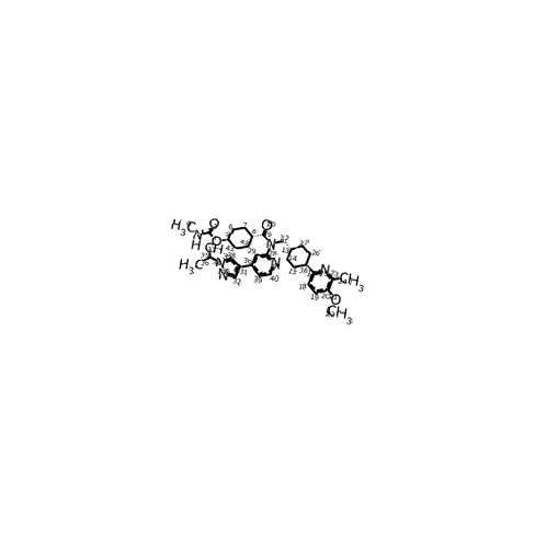 CNC(=O)O[C@H]1CC[C@H](C(=O)N(C[C@H]2CC[C@H](c3ccc(OC)c(C)n3)CC2)c2cc(-c3cnn(C(C)C)c3)ccn2)CC1